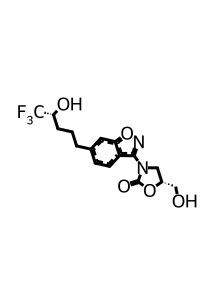 O=C1O[C@@H](CO)CN1c1noc2cc(CCC[C@@H](O)C(F)(F)F)ccc12